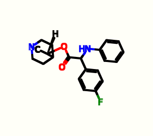 O=C(O[C@H]1CN2CCC1CC2)C(Nc1ccccc1)c1ccc(F)cc1